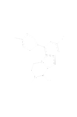 CN1CCn2c(cc3cc(F)cc(-c4ccc(F)cc4)c32)C1=O